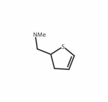 CNCC1CC=CS1